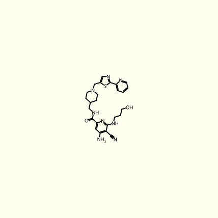 N#Cc1c(N)cc(C(=O)NCC2CCN(Cc3cnc(-c4ccccn4)s3)CC2)nc1NCCCO